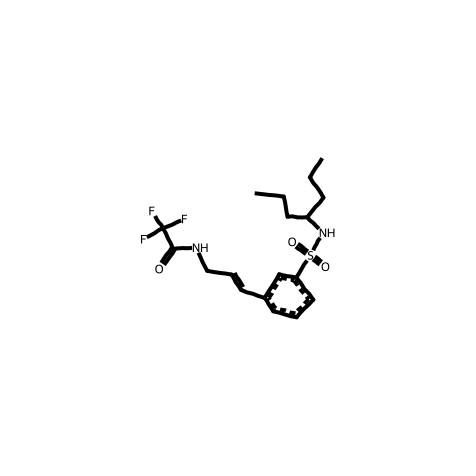 CCCC(CCC)NS(=O)(=O)c1cccc(/C=C/CNC(=O)C(F)(F)F)c1